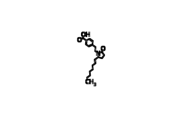 CCCCCC/C=C/C1CCC(=O)N1CCc1ccc(C(=O)O)cc1